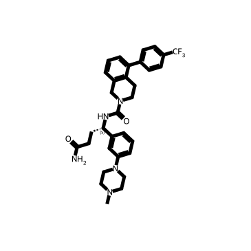 CN1CCN(c2cccc([C@H](CCC(N)=O)NC(=O)N3CCc4c(cccc4-c4ccc(C(F)(F)F)cc4)C3)c2)CC1